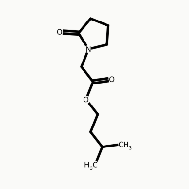 CC(C)CCOC(=O)CN1CCCC1=O